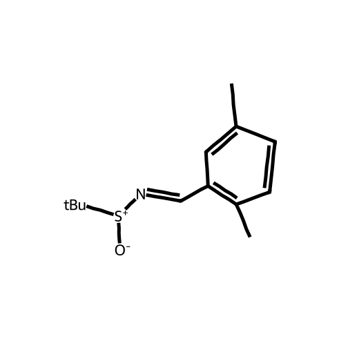 Cc1ccc(C)c(C=N[S+]([O-])C(C)(C)C)c1